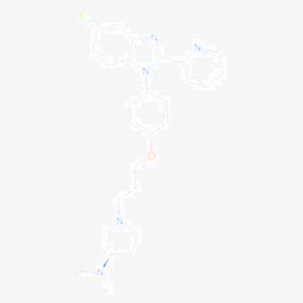 CN(C)[C@@H]1CCN(CCCOc2ccc(-n3c(-c4ccccn4)nc4cc(F)ccc43)cc2)C1